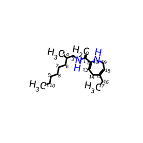 C=C(NCC(C)CCCCCC)C1=CCC(CC)=CCN1